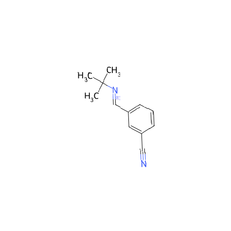 CC(C)(C)/N=C/c1cccc(C#N)c1